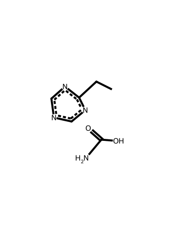 CCc1ncncn1.NC(=O)O